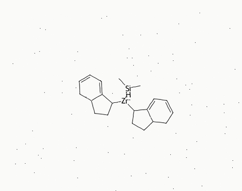 C[SiH](C)[Zr-]([CH]1CCC2CC=CC=C21)[CH]1CCC2CC=CC=C21